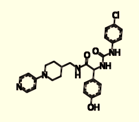 O=C(Nc1ccc(Cl)cc1)NC(C(=O)NCC1CCN(c2ccncc2)CC1)c1ccc(O)cc1